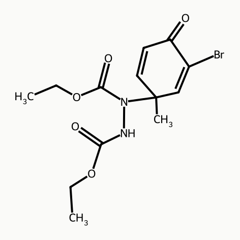 CCOC(=O)NN(C(=O)OCC)C1(C)C=CC(=O)C(Br)=C1